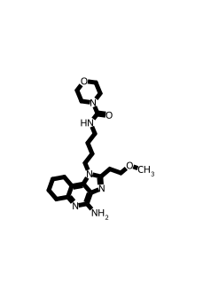 COCCc1nc2c(N)nc3c(c2n1CCCCNC(=O)N1CCOCC1)CCCC3